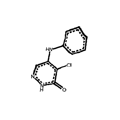 O=c1[nH]ncc(Nc2ccccc2)c1Cl